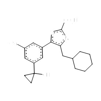 CC(C)(C)c1cc(-c2sc(C(=O)O)nc2CC2CCCCC2)cc(C2(C)CC2)c1